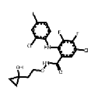 O=C(NOCCC1(O)CC1)c1cc(Cl)c(F)c(F)c1Nc1ccc(I)cc1Cl